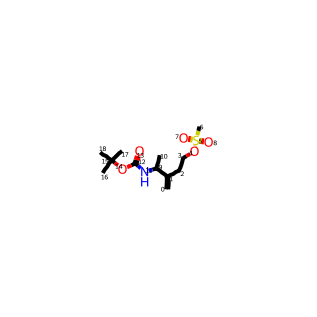 C=C(CCOS(C)(=O)=O)C(C)NC(=O)OC(C)(C)C